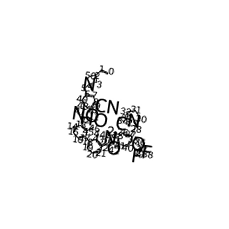 C=CC1CN(Cc2cc(C#N)c3oc(-c4cccc(-c5cccc(-c6nc7cc(CN8CCC[C@H]8C(=O)O)c(OC(F)F)cc7o6)c5C)c4C)nc3c2)C1